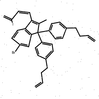 C=CCCc1ccc(C2(c3ccc(CCC=C)cc3)C(C)=C(/C=C\C(=C)I)c3ccc(Br)cc32)cc1